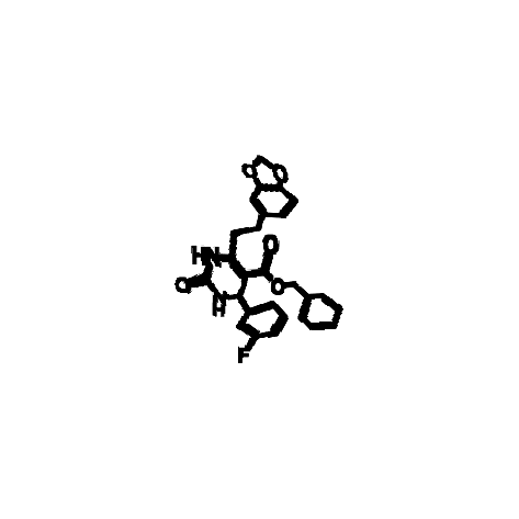 O=C1NC(CCc2ccc3c(c2)OCO3)=C(C(=O)OCc2ccccc2)C(c2cccc(F)c2)N1